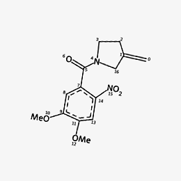 C=C1CCN(C(=O)c2cc(OC)c(OC)cc2[N+](=O)[O-])C1